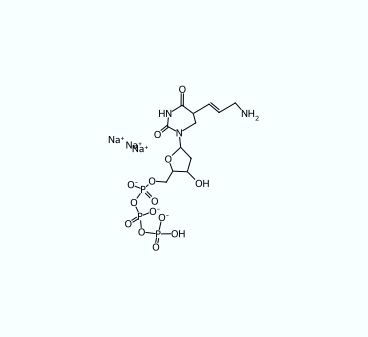 NCC=CC1CN(C2CC(O)C(COP(=O)([O-])OP(=O)([O-])OP(=O)([O-])O)O2)C(=O)NC1=O.[Na+].[Na+].[Na+]